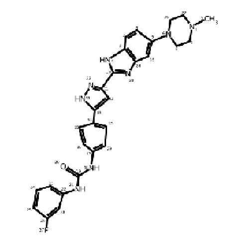 CN1CCN(c2ccc3[nH]c(-c4cc(-c5ccc(NC(=O)Nc6cccc(F)c6)cc5)[nH]n4)nc3c2)CC1